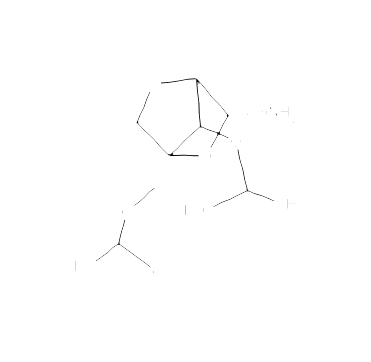 CC(C)OC[C@]12COC(C1OC(C)C)[C@H](N)O2